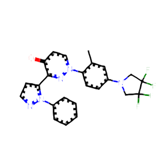 Cc1cc(N2CC(F)(F)C(F)(F)C2)ccc1-n1ccc(=O)c(-c2ccnn2-c2ccccc2)n1